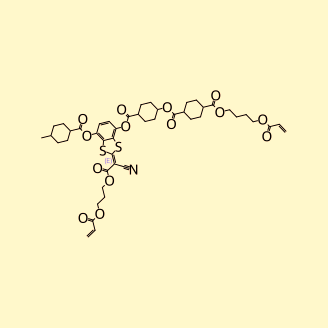 C=CC(=O)OCCCCOC(=O)C1CCC(C(=O)OC2CCC(C(=O)Oc3ccc(OC(=O)C4CCC(C)CC4)c4c3S/C(=C(\C#N)C(=O)OCCCOC(=O)C=C)S4)CC2)CC1